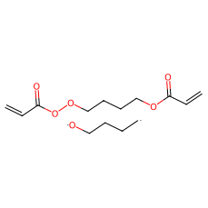 C=CC(=O)OCCCCOOC(=O)C=C.[CH2]CCC[O]